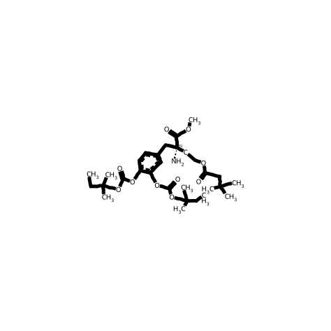 CCC(C)(C)OC(=O)Oc1ccc(C[C@](N)(CCOC(=O)CC(C)(C)C)C(=O)OC)cc1OC(=O)OC(C)(C)CC